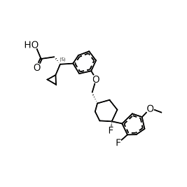 COc1ccc(F)c([C@]2(F)CC[C@@H](COc3cccc([C@@H](CC(=O)O)C4CC4)c3)CC2)c1